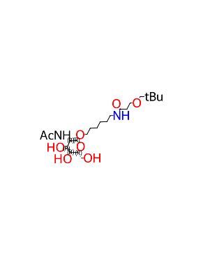 CC(=O)N[C@H]1[C@H](OCCCCCCNC(=O)CCOCC(C)(C)C)O[C@H](CO)[C@H](O)[C@@H]1O